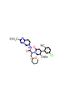 CCOC(=O)c1cn2cc(NC(=O)C(C[C@@H]3CCCCO3)n3cc(OC)c(-c4cc(Cl)ccc4C#N)cc3=O)ccc2n1